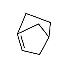 [CH]1C2=CCC1CC2